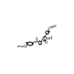 COc1ccc(/C=C/C(=O)c2cccc(-n3cc(-c4ccc(OC)cc4)[nH]c3=O)c2)cc1